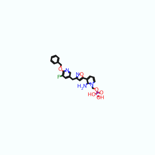 NC1C(c2cc(Cc3cnc(OCc4ccccc4)c(F)c3)no2)=CC=CN1COP(=O)(O)O